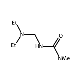 CCN(CC)CNC(=O)NC